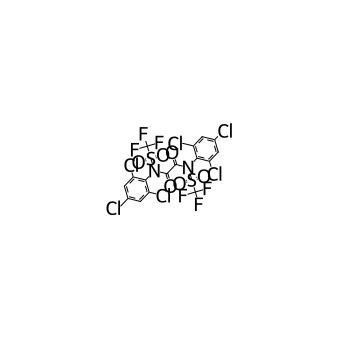 O=C(C(=O)N(c1c(Cl)cc(Cl)cc1Cl)S(=O)(=O)C(F)(F)F)N(c1c(Cl)cc(Cl)cc1Cl)S(=O)(=O)C(F)(F)F